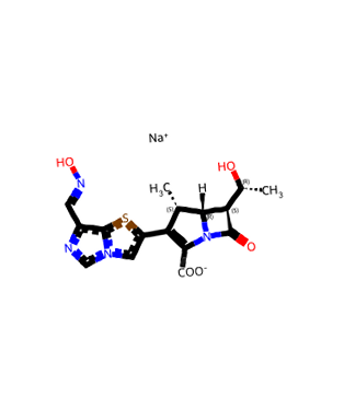 C[C@@H](O)[C@H]1C(=O)N2C(C(=O)[O-])=C(c3cn4cnc(C=NO)c4s3)[C@H](C)[C@H]12.[Na+]